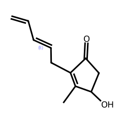 C=C/C=C/CC1=C(C)C(O)CC1=O